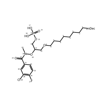 CCCCCCCCCCCCCCCCCCOCC(COP(=O)(O)O)ON(C)C(=O)c1ccc(F)c(Cl)c1